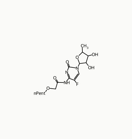 CCCCCOCC(=O)Nc1nc(=O)n(C2OC(C)C(O)C2O)cc1F